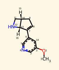 COc1cncc(C2=CC[C@H]3CN[C@@H]23)c1